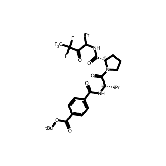 CC(C)C(NC(=O)[C@@H]1CCCN1C(=O)[C@@H](NC(=O)c1ccc(C(=O)OC(C)(C)C)cc1)C(C)C)C(=O)C(F)(F)C(F)(F)F